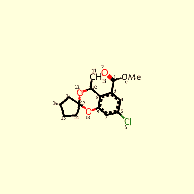 COC(=O)c1cc(Cl)cc2c1C(C)OC1(CCCC1)O2